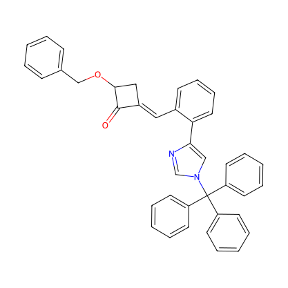 O=C1/C(=C/c2ccccc2-c2cn(C(c3ccccc3)(c3ccccc3)c3ccccc3)cn2)CC1OCc1ccccc1